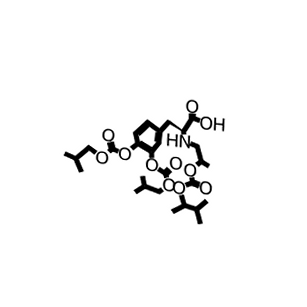 CC(C)COC(=O)Oc1ccc(C[C@H](NCC(C)OC(=O)OC(C)C(C)C)C(=O)O)cc1OC(=O)OCC(C)C